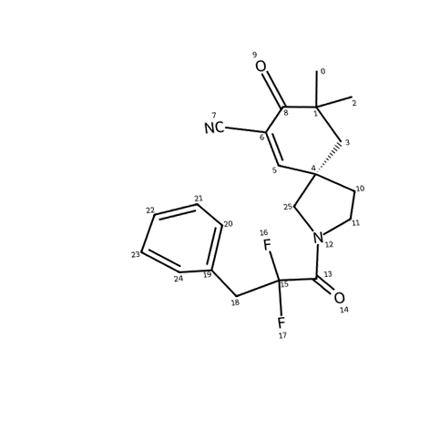 CC1(C)C[C@]2(C=C(C#N)C1=O)CCN(C(=O)C(F)(F)Cc1ccccc1)C2